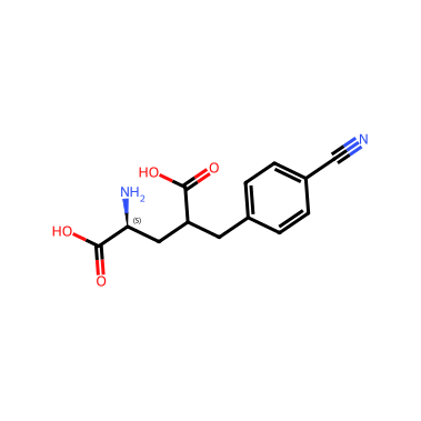 N#Cc1ccc(CC(C[C@H](N)C(=O)O)C(=O)O)cc1